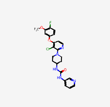 O=C(Nc1cccnc1)NC1CCN(c2nccc(Oc3ccc(F)c(OC(F)(F)F)c3)c2Cl)CC1